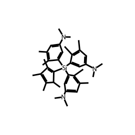 CC1=C(C)C(C)C([Si](c2cc(N(C)C)cc(C)c2C)(c2cc(N(C)C)cc(C)c2C)c2cc(N(C)C)cc(C)c2C)=C1C